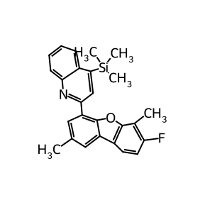 Cc1cc(-c2cc([Si](C)(C)C)c3ccccc3n2)c2oc3c(C)c(F)ccc3c2c1